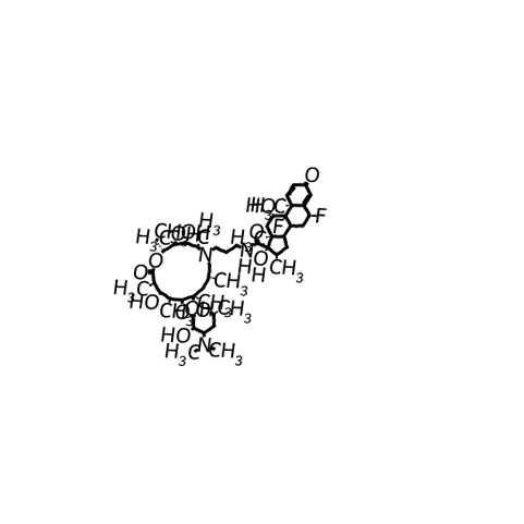 CC[C@H]1OC(=O)[C@H](C)[C@@H](O)[C@H](C)C(O[C@@H]2O[C@H](C)CC(N(C)C)[C@H]2O)[C@](C)(O)C[C@@H](C)CN(CCCNC(=O)[C@@]2(O)[C@H](C)CC3C4C[C@H](F)C5=CC(=O)C=C[C@]5(C)[C@@]4(F)[C@@H](O)C[C@@]32C)[C@H](C)[C@@H](O)[C@]1(C)O